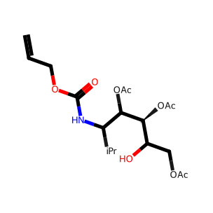 C=CCOC(=O)NC(C(C)C)C(OC(C)=O)[C@@H](OC(C)=O)C(O)COC(C)=O